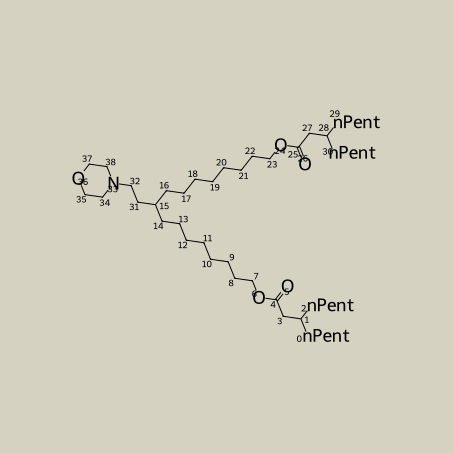 CCCCCC(CCCCC)CC(=O)OCCCCCCCCC(CCCCCCCCOC(=O)CC(CCCCC)CCCCC)CCN1CCOCC1